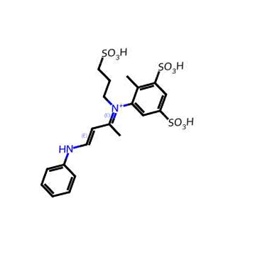 CC(/C=C/Nc1ccccc1)=[N+](/CCCS(=O)(=O)O)c1cc(S(=O)(=O)O)cc(S(=O)(=O)O)c1C